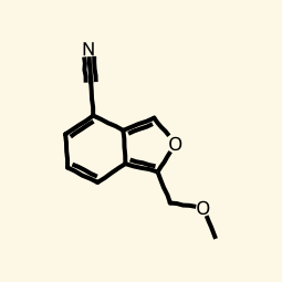 COCc1occ2c(C#N)cccc12